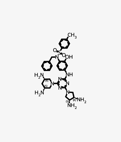 Cc1ccc(S(=O)(=O)N(Cc2ccccc2)c2ccc(Nc3nc(N4C[C@H](N)C[C@H](N)C4)nc(N4C[C@@H](N)[C@@H](N)C4)n3)cc2O)cc1